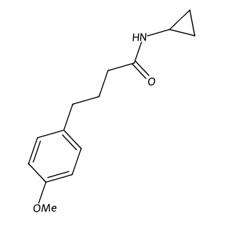 COc1ccc(CCCC(=O)NC2CC2)cc1